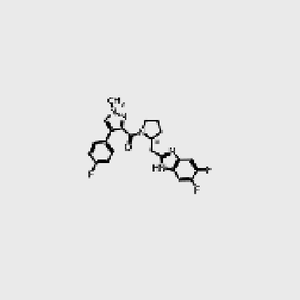 Cn1cc(-c2ccc(F)cc2)c(C(=O)N2CCC[C@H]2Cc2nc3cc(F)c(F)cc3[nH]2)n1